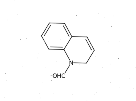 O=[C]N1CC=Cc2ccccc21